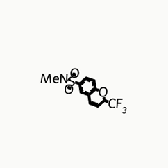 CNS(=O)(=O)c1ccc2c(c1)C=CC(C(F)(F)F)O2